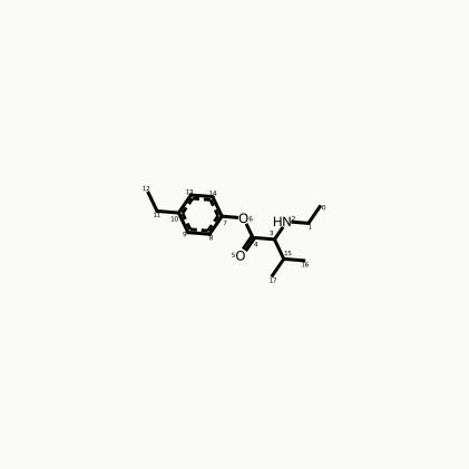 CCNC(C(=O)Oc1ccc(CC)cc1)C(C)C